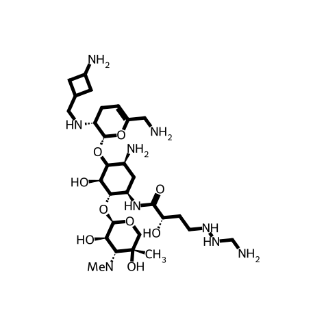 CN[C@@H]1[C@@H](O)[C@@H](O[C@H]2[C@H](NC(=O)[C@@H](O)CCNNCN)C[C@H](N)C(O[C@H]3OC(CN)=CC[C@H]3NCC3CC(N)C3)[C@@H]2O)OC[C@]1(C)O